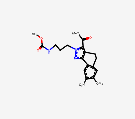 COC(=O)c1c2c(nn1CCCNC(=O)OC(C)(C)C)-c1cc([N+](=O)[O-])c(OC)cc1CC2